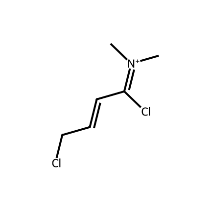 C[N+](C)=C(Cl)C=CCCl